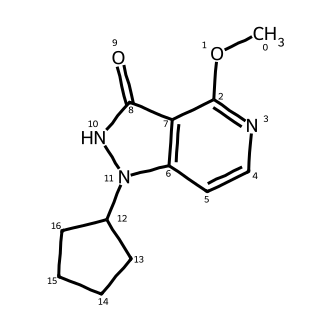 COc1nccc2c1c(=O)[nH]n2C1CCCC1